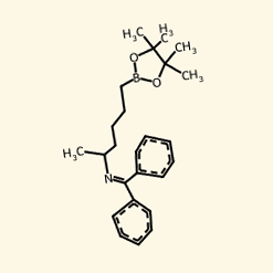 CC(CCCCB1OC(C)(C)C(C)(C)O1)N=C(c1ccccc1)c1ccccc1